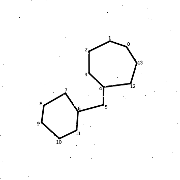 C1CCCC(CC2CCCCC2)CC1